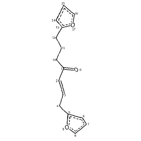 O=C(C=CCc1ccco1)CCCc1ccco1